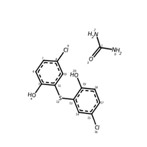 NC(N)=O.Oc1ccc(Cl)cc1Sc1cc(Cl)ccc1O